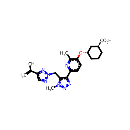 C=C(C)c1cnn(Cc2c(-c3ccc(O[C@H]4CCC[C@H](C(=O)O)C4)c(C)n3)nnn2C)n1